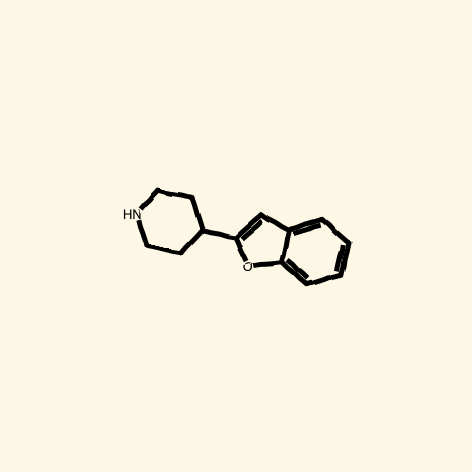 c1ccc2oc(C3CCNCC3)cc2c1